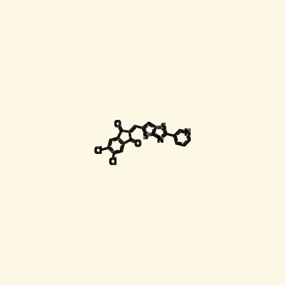 O=C1C(=Cc2cc3sc(-c4cccnc4)nc3s2)C(=O)c2cc(Cl)c(Cl)cc21